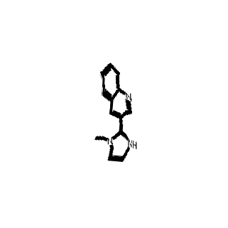 CN1CCNC1c1cnc2ccccc2c1